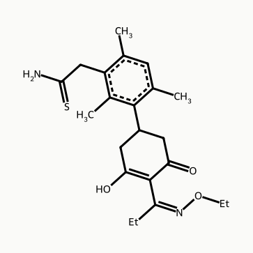 CCO/N=C(/CC)C1=C(O)CC(c2c(C)cc(C)c(CC(N)=S)c2C)CC1=O